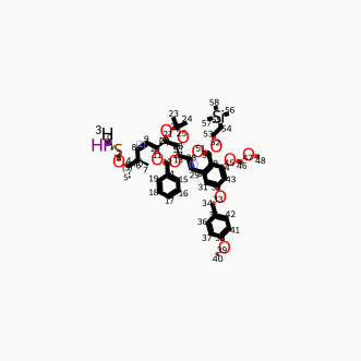 [3H]PSO[C@@H](C)[C@H](C)/C=C\C(OC(=O)c1ccccc1)[C@H]1OC(C)(C)O[C@H]1C/C=C/c1cc(OCc2ccc(OC)cc2)cc(OCOC)c1C(=O)OCC[Si](C)(C)C